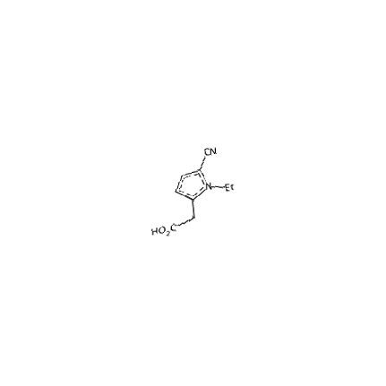 CCn1c(C#N)ccc1CC(=O)O